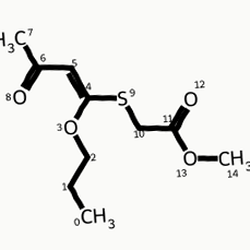 CCCO/C(=C\C(C)=O)SCC(=O)OC